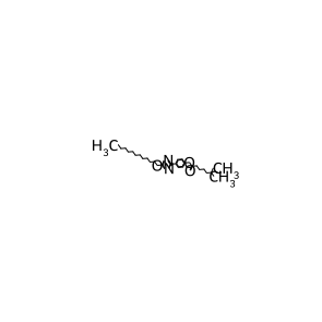 CCCCCCCCCCCCOc1cnc(-c2ccc(OC(=O)CCCCC(C)CC)cc2)nc1